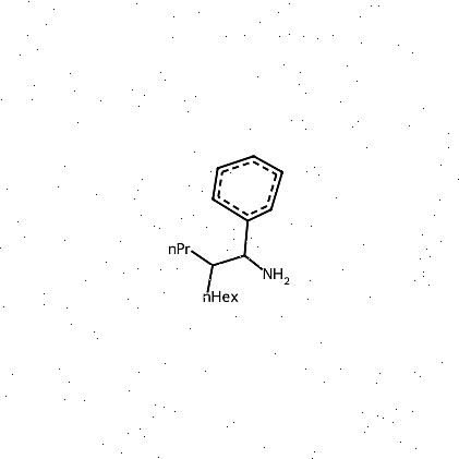 CCCCCCC(CCC)C(N)c1ccccc1